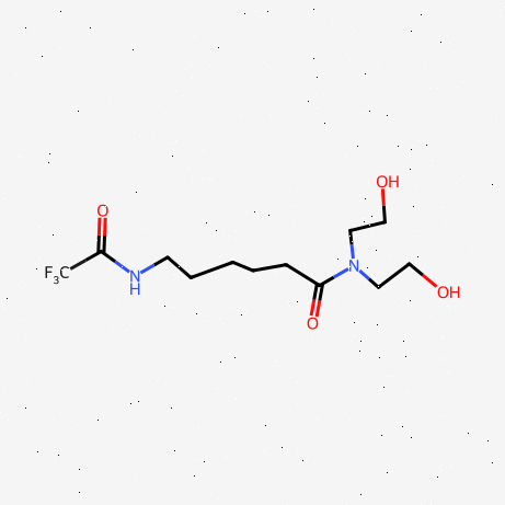 O=C(CCCCCNC(=O)C(F)(F)F)N(CCO)CCO